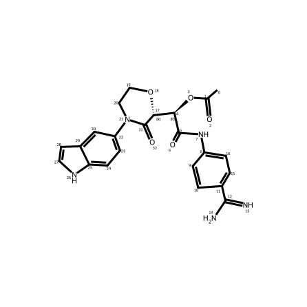 CC(=O)O[C@@H](C(=O)Nc1ccc(C(=N)N)cc1)[C@H]1OCCN(c2ccc3[nH]ccc3c2)C1=O